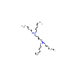 CCCCCN(C/C=C/CN(CCCCC)CCCCC)CCCCC